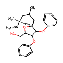 C=CC(C)(C)CC(C)CC1OC(CO)C(Oc2ccccc2)C1Oc1ccccc1